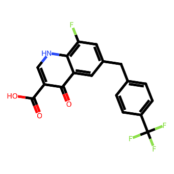 O=C(O)c1c[nH]c2c(F)cc(Cc3ccc(C(F)(F)F)cc3)cc2c1=O